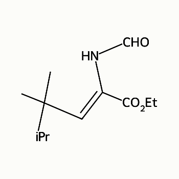 CCOC(=O)/C(=C/C(C)(C)C(C)C)NC=O